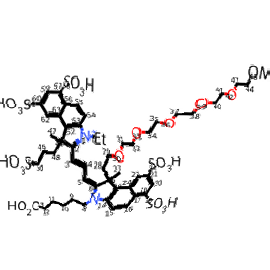 CC[N+]1=C(/C=C/C=C2/N(CCCCCC(=O)O)c3ccc4c(S(=O)(=O)O)cc(S(=O)(=O)O)cc4c3C2(C)CCOCCOCCOCCOCCOCCOC)C(C)(CCCS(=O)(=O)O)c2c1ccc1c(S(=O)(=O)O)cc(S(=O)(=O)O)cc21